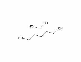 OCCCCCO.OCO